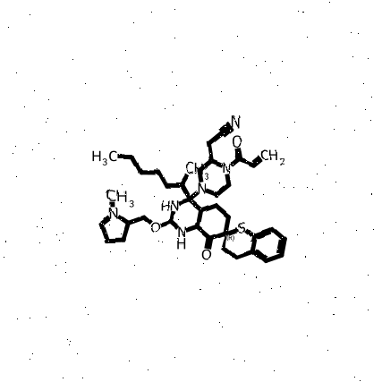 C=CC(=O)N1CCN(C2(C(C)CCCCC)NC(OCC3CCCN3C)NC3C(=O)[C@]4(CCc5ccccc5S4)CCC32)CC1CC#N